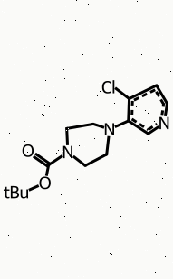 CC(C)(C)OC(=O)N1CCN(c2cnccc2Cl)CC1